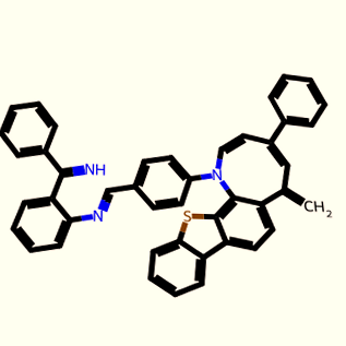 C=C1/C=C(c2ccccc2)\C=C/N(c2ccc(/C=N/c3ccccc3C(=N)c3ccccc3)cc2)c2c1ccc1c2sc2ccccc21